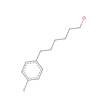 [O]CCCCCCc1ccc(I)cc1